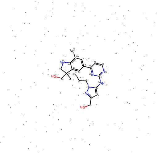 CC(C)CCn1nc(CO)cc1Nc1nccc(-c2cc(C#N)c3c(c2)C(C)(CO)CN3)n1